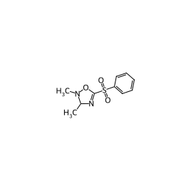 CC1N=C(S(=O)(=O)c2ccccc2)ON1C